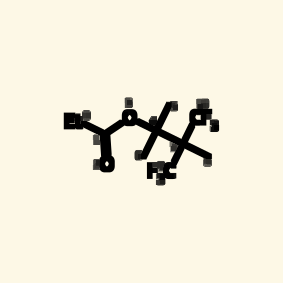 CCC(=O)OC(C)(C)C(C)(C(F)(F)F)C(F)(F)F